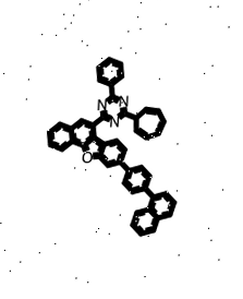 C1=CC=CC(c2nc(-c3ccccc3)nc(-c3cc4ccccc4c4oc5cc(-c6ccc(-c7cccc8ccccc78)cc6)ccc5c34)n2)C=C1